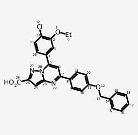 CCOc1cc(-c2cc(-c3ccc(OCc4ccccc4)cc3)nc3cc(C(=O)O)nn23)ccc1Cl